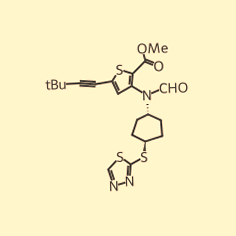 COC(=O)c1sc(C#CC(C)(C)C)cc1N(C=O)[C@H]1CC[C@H](Sc2nncs2)CC1